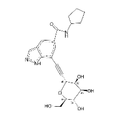 O=C(NC1CCCC1)c1cc(C#C[C@H]2O[C@H](CO)[C@@H](O)[C@H](O)[C@@H]2O)c2[nH]ncc2c1